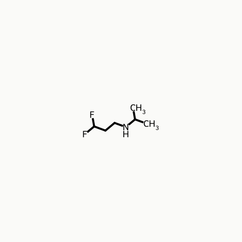 CC(C)NCCC(F)F